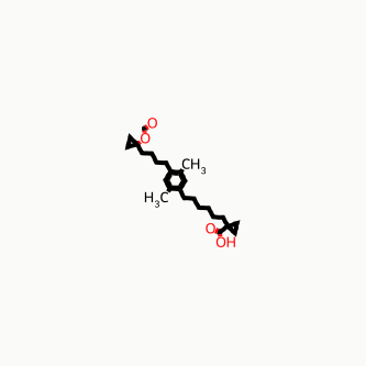 Cc1cc(CCCCC2(OC=O)CC2)c(C)cc1CCCCCCC1(C(=O)O)CC1